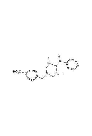 C[C@@H]1CN(Cc2ccc(C(=O)O)cc2)C[C@H](C)N1C(=O)c1ccccc1